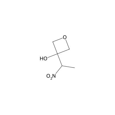 CC([N+](=O)[O-])C1(O)COC1